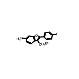 CCOC(=O)c1c(-c2ccc(F)cc2)oc2cc(N)ccc12